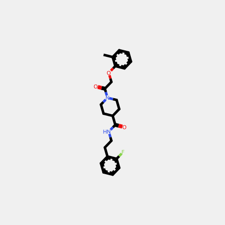 Cc1ccccc1OCC(=O)N1CCC(C(=O)NCCc2ccccc2F)CC1